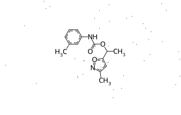 Cc1cccc(NC(=O)OC(C)c2cc(C)no2)c1